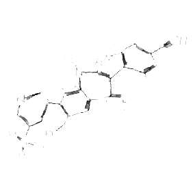 C#Cc1ccc2c(c1)[nH]c1c2c(=O)c2cc(CC(C)C)c(-c3cncc(S(=O)(=O)F)c3)cc2n1C